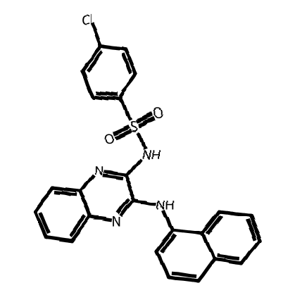 O=S(=O)(Nc1nc2ccccc2nc1Nc1cccc2ccccc12)c1ccc(Cl)cc1